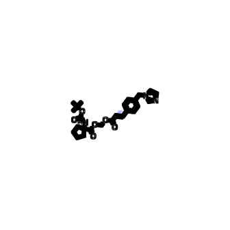 CC(C)(C)OC(=O)NC1(C(=O)OCOC(=O)/C=C/c2ccc(Cn3ccnc3)cc2)CCCC1